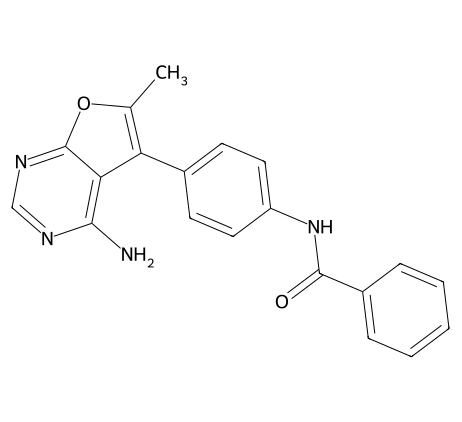 Cc1oc2ncnc(N)c2c1-c1ccc(NC(=O)c2ccccc2)cc1